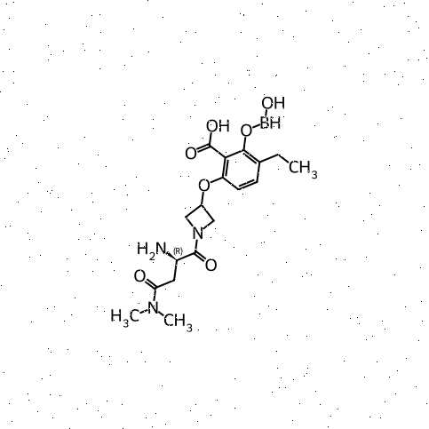 CCc1ccc(OC2CN(C(=O)[C@H](N)CC(=O)N(C)C)C2)c(C(=O)O)c1OBO